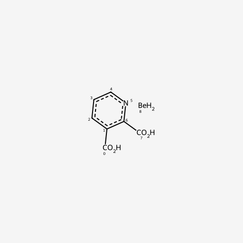 O=C(O)c1cccnc1C(=O)O.[BeH2]